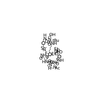 CCOP(=O)(OCC)C(=O)c1ccc2[nH]c(C(=O)N[C@H]3CN(C(C)=O)CC[C@H]4CC[C@@H](C(=O)N[C@@H](CCC(N)=O)COc5cc(C)cc(CCCCC(=O)N[C@H](C(=O)N6C[C@H](O)C[C@H]6C(=O)N[C@@H](C)c6ccc(-c7scnc7C)cc6)C(C)(C)C)c5F)N4C3=O)cc2c1